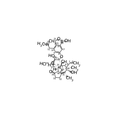 C=C[C@]1(C)C[C@@H](C(Oc2cc(CN(C)C)c3c(c2)B(O)OC3)C(=O)O)[C@@]2(C)[C@H](C)CC[C@]3(CCC(=O)[C@H]32)[C@@H](C)[C@@H]1O.Cl